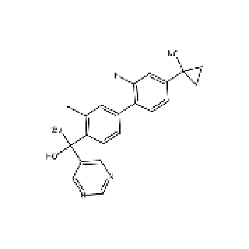 CC(C)(C)C(O)(c1cncnc1)c1ccc(-c2ccc(C3(C#N)CC3)cc2F)cc1F